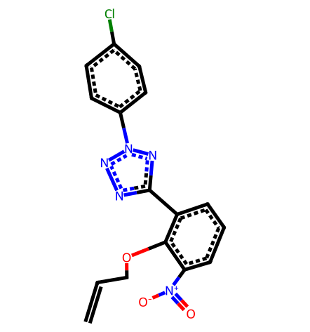 C=CCOc1c(-c2nnn(-c3ccc(Cl)cc3)n2)cccc1[N+](=O)[O-]